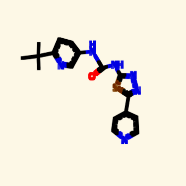 CC(C)(C)c1ccc(NC(=O)Nc2nnc(-c3ccncc3)s2)cn1